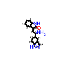 NC(C=C1C(=O)Nc2ccccc21)c1ccc2[nH]ncc2c1